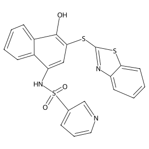 O=S(=O)(Nc1cc(Sc2nc3ccccc3s2)c(O)c2ccccc12)c1cccnc1